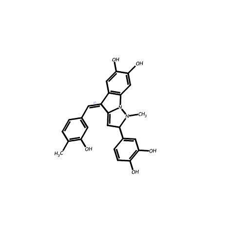 Cc1ccc(/C=c2\c3n(c4cc(O)c(O)cc24)N(C)C(c2ccc(O)c(O)c2)C=3)cc1O